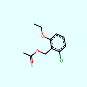 CCOc1cccc(Cl)c1COC(C)=O